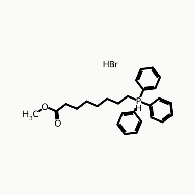 Br.COC(=O)CCCCCCC[PH](c1ccccc1)(c1ccccc1)c1ccccc1